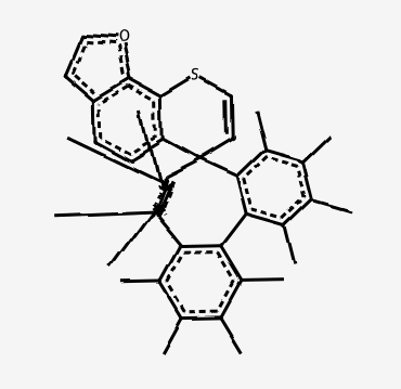 Cc1c(C)c(C)c2c(c1C)-c1c(C)c(C)c(C)c(C)c1C1(C=CSc3c1ccc1ccoc31)c1c(C)c(C)c(C)c(C)c1-2